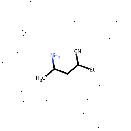 CCC(C#N)CC(C)N